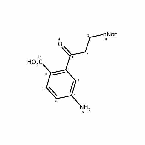 CCCCCCCCCCCC(=O)c1cc(N)ccc1C(=O)O